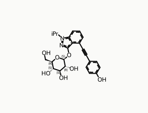 CC(C)n1nc(O[C@@H]2O[C@H](CO)[C@@H](O)[C@H](O)[C@H]2O)c2c(C#Cc3ccc(O)cc3)cccc21